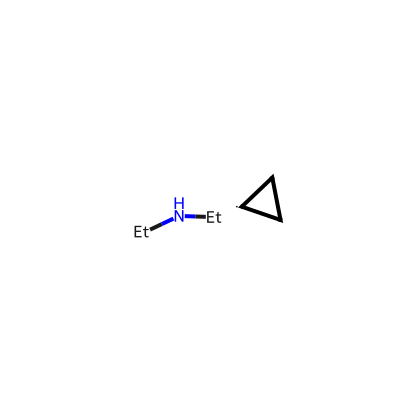 CCNCC.[CH]1CC1